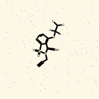 C#CCN1C(=N)c2c(OC(F)(F)C(F)Cl)cccc2S1(=O)=O